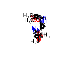 COc1ccc(/C=C(/C#N)C(=O)NCc2cccc(CNC(=O)/C(C#N)=C\c3ccc(OC)c(OC)c3)c2)cc1OC